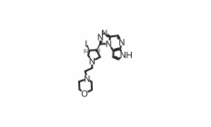 I[C@@H]1CN(CCN2CCOCC2)C[C@@H]1c1nnc2cnc3[nH]ccc3n12